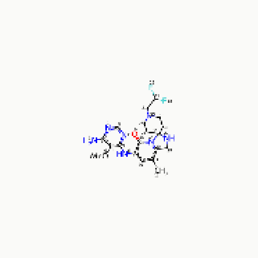 COc1c(N)ncnc1Nc1cc(C)c2n(c1=O)C1(CCN(CC(F)F)CC1)NC2